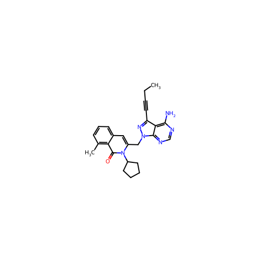 CCC#Cc1nn(Cc2cc3cccc(C)c3c(=O)n2C2CCCC2)c2ncnc(N)c12